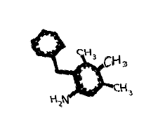 Cc1cc(N)c(Cc2ccccc2)c(C)c1C